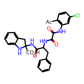 CC(=O)c1ccc(Cl)cc1NC(=O)C(=O)NC(Cc1ccccc1)C(=O)NC1(C(=O)O)Cc2ccccc2N1